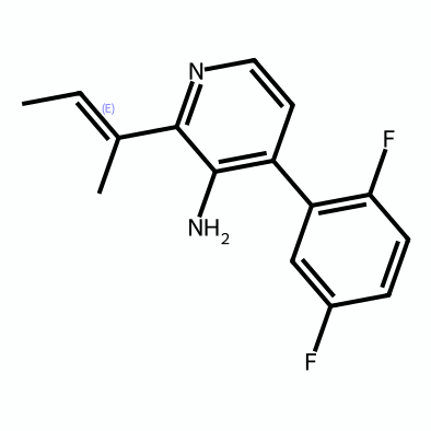 C/C=C(\C)c1nccc(-c2cc(F)ccc2F)c1N